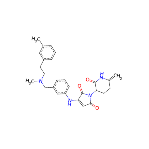 C=C1CCC(N2C(=O)C=C(Nc3cccc(CN(C)CCc4cccc(C)c4)c3)C2=O)C(=O)N1